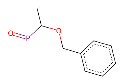 [CH2]C(OCc1ccccc1)P=O